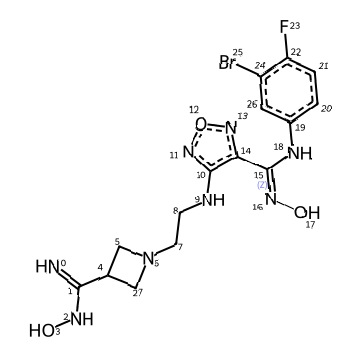 N=C(NO)C1CN(CCNc2nonc2/C(=N/O)Nc2ccc(F)c(Br)c2)C1